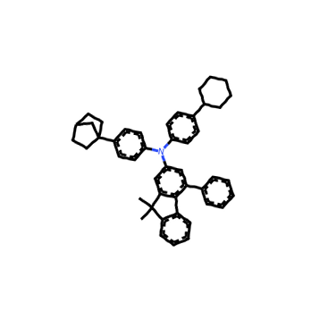 CC1(C)c2ccccc2-c2c(-c3ccccc3)cc(N(c3ccc(C4CCCCC4)cc3)c3ccc(C45CCC(CC4)C5)cc3)cc21